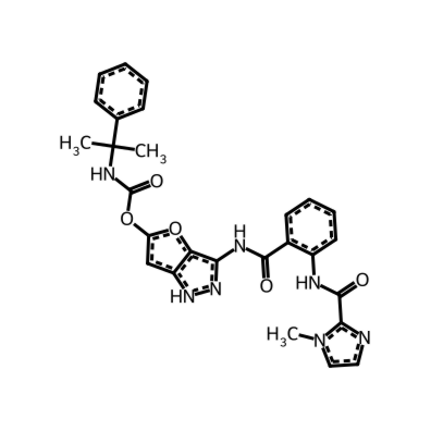 Cn1ccnc1C(=O)Nc1ccccc1C(=O)Nc1n[nH]c2cc(OC(=O)NC(C)(C)c3ccccc3)oc12